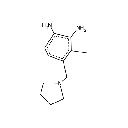 Cc1c(CN2CCCC2)ccc(N)c1N